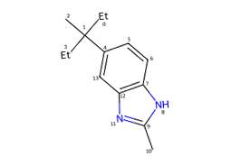 CCC(C)(CC)c1ccc2[nH]c(C)nc2c1